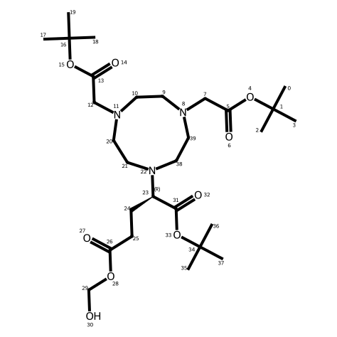 CC(C)(C)OC(=O)CN1CCN(CC(=O)OC(C)(C)C)CCN([C@H](CCC(=O)OCO)C(=O)OC(C)(C)C)CC1